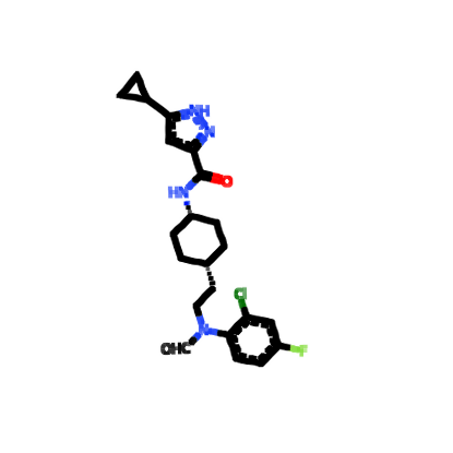 O=CN(CC[C@H]1CC[C@@H](NC(=O)c2cc(C3CC3)[nH]n2)CC1)c1ccc(F)cc1Cl